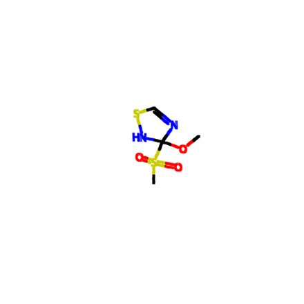 COC1(S(C)(=O)=O)N=CSN1